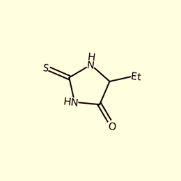 CCC1NC(=S)NC1=O